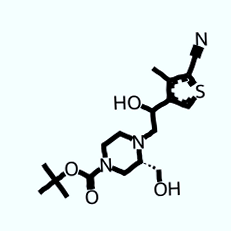 Cc1c(C(O)CN2CCN(C(=O)OC(C)(C)C)C[C@H]2CO)csc1C#N